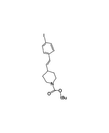 CC(C)(C)OC(=O)N1CCC(C=Cc2ccc(I)cc2)CC1